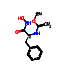 C=C(N[C@H](Cc1ccccc1)C(=O)NO)OC(C)(C)C